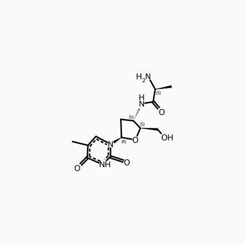 Cc1cn([C@H]2C[C@H](NC(=O)[C@H](C)N)[C@@H](CO)O2)c(=O)[nH]c1=O